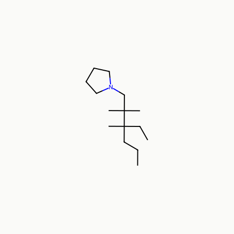 CCCC(C)(CC)C(C)(C)CN1CCCC1